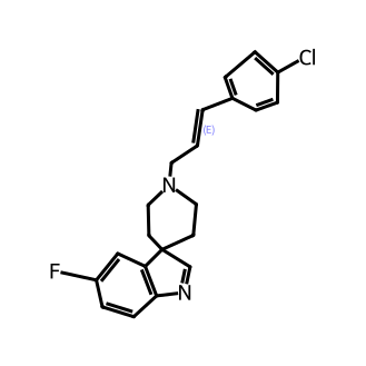 Fc1ccc2c(c1)C1(C=N2)CCN(C/C=C/c2ccc(Cl)cc2)CC1